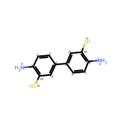 Nc1ccc(-c2ccc(N)c(S)c2)cc1S